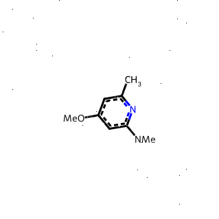 CNc1cc(OC)cc(C)n1